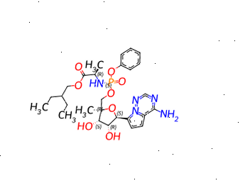 CCC(CC)COC(=O)[C@@H](C)N[P@](=O)(OC[C@@]1(C)O[C@@H](c2ccc3c(N)ncnn23)[C@H](O)[C@@H]1O)Oc1ccccc1